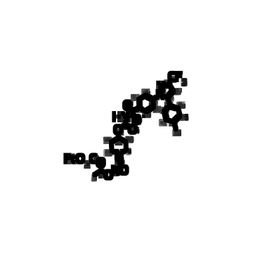 CCOC(=O)OC(C)On1on1N1CCC(OC(=O)NS(=O)(=O)c2ccc(-n3nc(C(F)(F)F)cc3-c3ccc(C)cc3)cc2)CC1